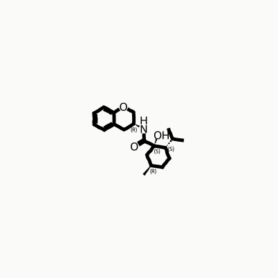 CC(C)[C@@H]1CC[C@@H](C)C[C@@]1(O)C(=O)N[C@H]1COc2ccccc2C1